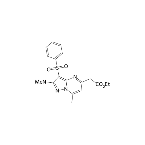 CCOC(=O)Cc1cc(C)n2nc(NC)c(S(=O)(=O)c3ccccc3)c2n1